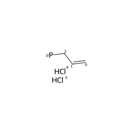 C=CC[P].Cl.Cl